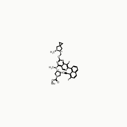 C#Cc1c(F)ccc2cccc(-c3ncc4c(N(C)[C@@H]5CCN(C(=O)OC(C)(C)C)C5)nc(OC[C@@H]5CC6(CC6)CN5C)nc4c3F)c12